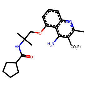 CCOC(=O)c1c(C)nc2cccc(OCC(C)(C)NC(=O)C3CCCC3)c2c1N